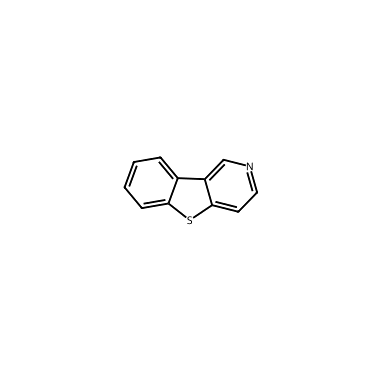 c1ccc2c(c1)sc1ccncc12